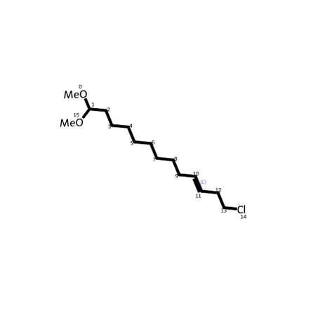 COC(CCCCCCCC/C=C/CCCl)OC